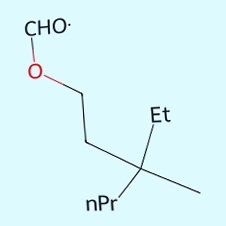 CCCC(C)(CC)CCO[C]=O